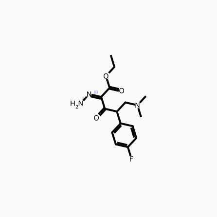 CCOC(=O)/C(=N/N)C(=O)C(CN(C)C)c1ccc(F)cc1